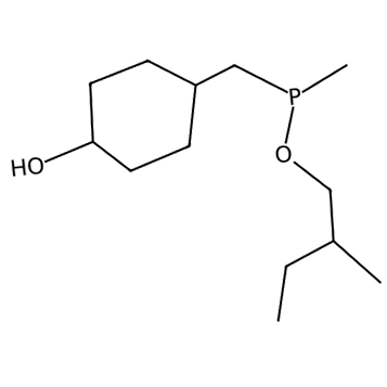 CCC(C)COP(C)CC1CCC(O)CC1